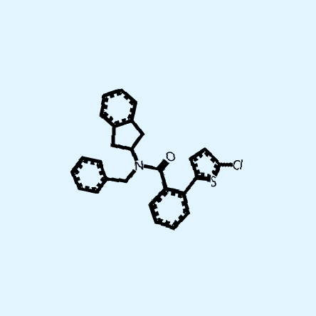 O=C(c1ccccc1-c1ccc(Cl)s1)N(Cc1ccccc1)C1Cc2ccccc2C1